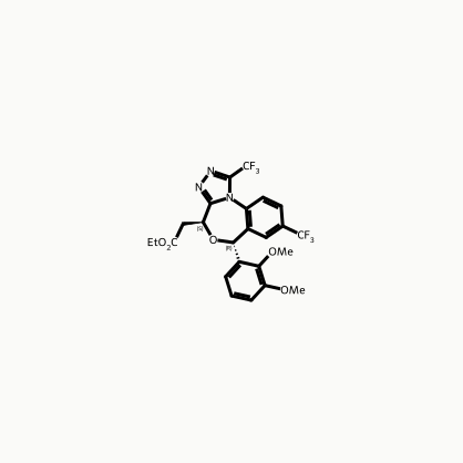 CCOC(=O)C[C@@H]1O[C@@H](c2cccc(OC)c2OC)c2cc(C(F)(F)F)ccc2-n2c1nnc2C(F)(F)F